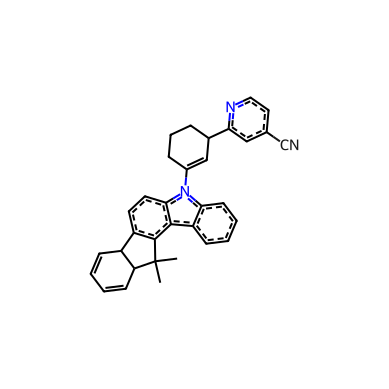 CC1(C)c2c(ccc3c2c2ccccc2n3C2=CC(c3cc(C#N)ccn3)CCC2)C2C=CC=CC21